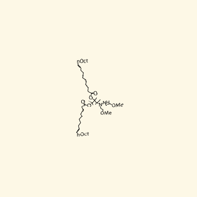 CCCCCCCCC=CCCCCCCCC(=O)OC(C)(C)C(C)(OC(=O)CCCCCCCC=CCCCCCCCC)C(C)(C)N(CCOC)NCCOC